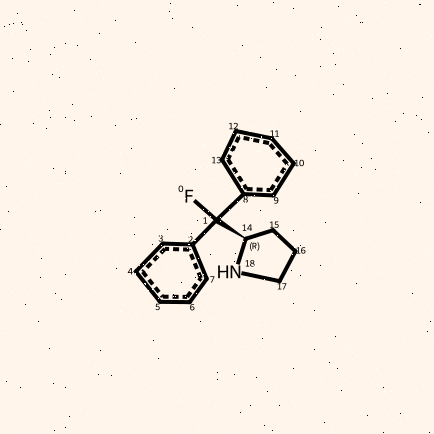 FC(c1ccccc1)(c1ccccc1)[C@H]1CCCN1